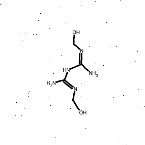 NC(=NCO)NC(N)=NCO